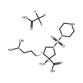 N[C@]1(C(=O)O)CN(S(=O)(=O)N2CCNCC2)C[C@H]1CCCB(O)O.O=C(O)C(F)(F)F